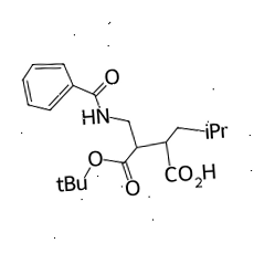 CC(C)CC(C(=O)O)C(CNC(=O)c1ccccc1)C(=O)OC(C)(C)C